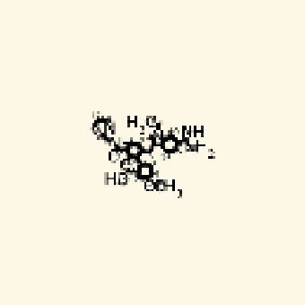 CCn1cc(Cc2ccc(C(=O)NCc3ncccn3)cc2-c2ccc(OC)cc2C(=O)O)c2ccc(C(=N)N)cc21